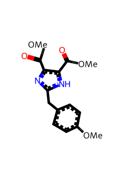 COC(=O)c1nc(Cc2ccc(OC)cc2)[nH]c1C(=O)OC